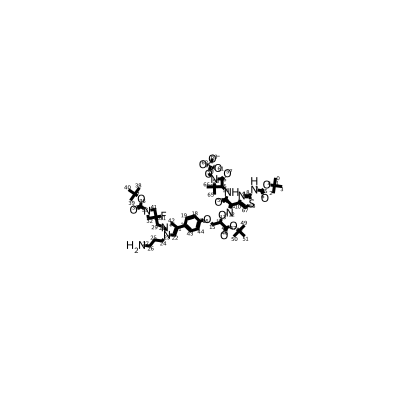 CC(C)(C)OC(=O)Nc1nc(/C(=N/OC(COc2ccc(-c3cn(CCCN)[n+](CC4(F)CN(C(=O)OC(C)(C)C)C4)c3)cc2)C(=O)OC(C)(C)C)C(=O)NC2C(=O)N(OS(=O)(=O)[O-])C2(C)C)cs1